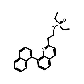 CCP(=O)(CC)OCCc1ccc2cccc(-c3cccc4ccccc34)c2n1